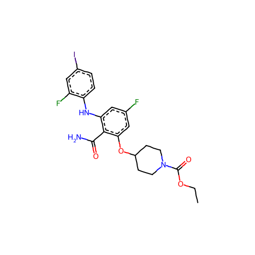 CCOC(=O)N1CCC(Oc2cc(F)cc(Nc3ccc(I)cc3F)c2C(N)=O)CC1